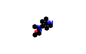 c1ccc(C2=C(c3ccccc3)C(c3ccc(-c4nc(-c5ccccc5)cc(-c5cccc6c5oc5ccccc56)n4)cc3)=C(c3ccccc3)C(c3ccccc3)N2)cc1